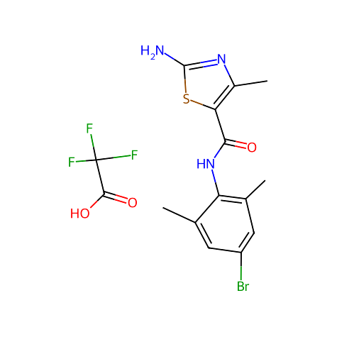 Cc1cc(Br)cc(C)c1NC(=O)c1sc(N)nc1C.O=C(O)C(F)(F)F